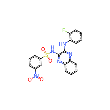 O=[N+]([O-])c1cccc(S(=O)(=O)Nc2nc3ccccc3nc2Nc2ccccc2F)c1